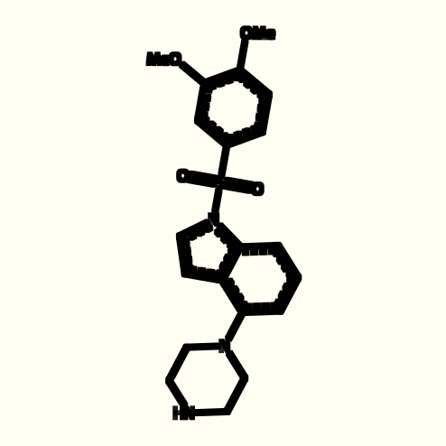 COc1ccc(S(=O)(=O)n2ccc3c(N4CCNCC4)cccc32)cc1OC